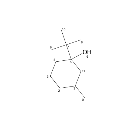 CC1CCCC(O)(C(C)(C)C)C1